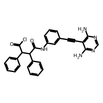 Nc1ncnc(N)c1C#Cc1cccc(NC(=O)C(c2ccccc2)C(C(=O)Cl)c2ccccc2)c1